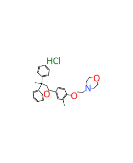 Cc1cc(C(=O)CC(C)(c2ccccc2)c2ccccc2)ccc1OCCN1CCOCC1.Cl